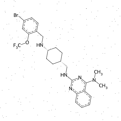 CN(C)c1nc(NC[C@H]2CC[C@@H](NCc3ccc(Br)cc3OC(F)(F)F)CC2)nc2ccccc12